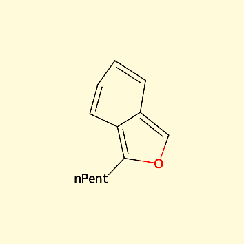 [CH2]CCCCc1occ2ccccc12